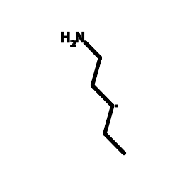 CC[CH]CCN